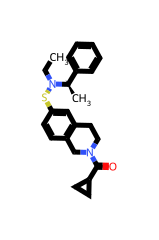 CCN(Sc1ccc2c(c1)CCN(C(=O)C1CC1)C2)[C@H](C)c1ccccc1